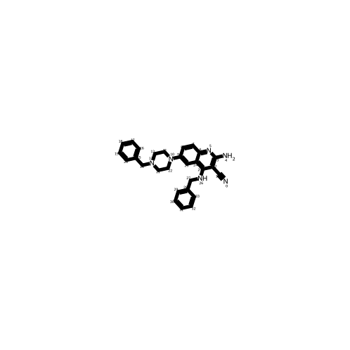 N#Cc1c(N)nc2ccc(N3CCN(Cc4ccccc4)CC3)cc2c1NCc1ccccc1